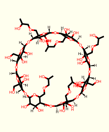 CC(O)COCC1O[C@@H]2O[C@@H]3C(COCC(C)O)O[C@H](O[C@@H]4C(CO)O[C@H](O[C@@H]5C(CO)O[C@H](O[C@@H]6C(COCC(C)O)O[C@H](O[C@@H]7C(COCC(C)O)O[C@H](O[C@@H]8C(COCC(C)O)O[C@H](O[C@@H]9C(CO)O[C@H](O[C@H]1[C@H](O)C2O)C(O)[C@H]9O)C(O)[C@H]8O)C(O)[C@H]7O)C(O)[C@H]6O)C(O)[C@H]5O)C(O)[C@H]4O)C(O)[C@H]3O